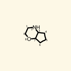 [CH]1CNC2CCCC2O1